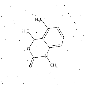 Cc1cccc2c1C(C)OC(=O)N2C